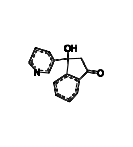 O=C1CC(O)(c2cccnc2)c2ccccc21